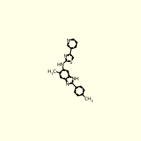 Cc1ccc(-c2nc3cc(C)c(Nc4nc(-c5cccnc5)cs4)cc3[nH]2)cc1